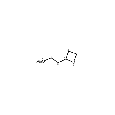 COCCC1[CH]CO1